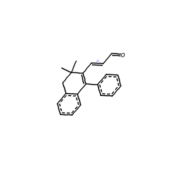 CC1(C)Cc2ccccc2C(c2ccccc2)=C1/C=C/C=O